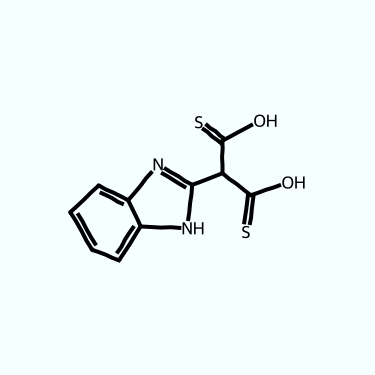 OC(=S)C(C(O)=S)c1nc2ccccc2[nH]1